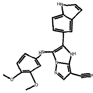 COc1ccc(Nc2c(-c3ccc4[nH]ccc4c3)[nH]c3c(C#N)cnn23)cc1OC